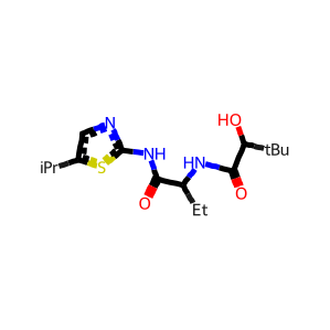 CCC(NC(=O)C(O)C(C)(C)C)C(=O)Nc1ncc(C(C)C)s1